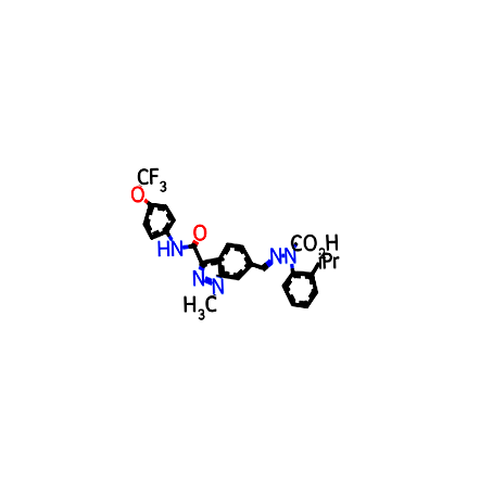 CC(C)c1ccccc1N(/N=C/c1ccc2c(C(=O)Nc3ccc(OC(F)(F)F)cc3)nn(C)c2c1)C(=O)O